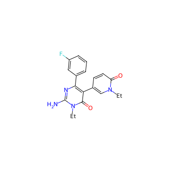 CCn1cc(-c2c(-c3cccc(F)c3)nc(N)n(CC)c2=O)ccc1=O